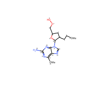 COCCC1CC(COO)OC1n1cnc2c(OC)nc(N)nc21